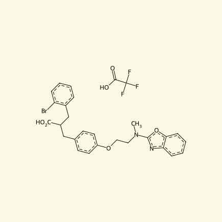 CN(CCOc1ccc(CC(Cc2ccccc2Br)C(=O)O)cc1)c1nc2ccccc2o1.O=C(O)C(F)(F)F